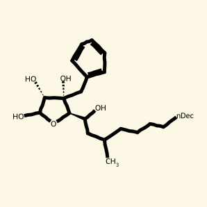 CCCCCCCCCCCCCCC(C)CC(O)[C@H]1OC(O)[C@H](O)[C@@]1(O)Cc1ccccc1